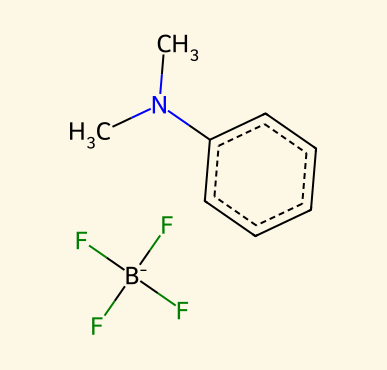 CN(C)c1ccccc1.F[B-](F)(F)F